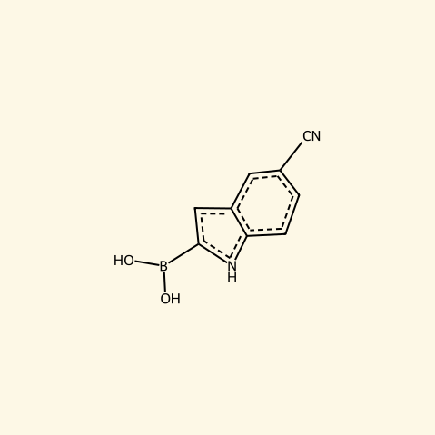 N#Cc1ccc2[nH]c(B(O)O)cc2c1